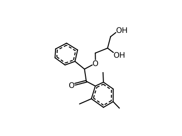 Cc1cc(C)c(C(=O)C(OCC(O)CO)c2ccccc2)c(C)c1